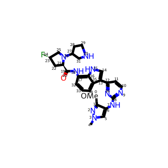 COc1nn(C)cc1Nc1nccc(-c2c[nH]c3c(NC(=O)[C@H]4C[C@H](F)CN4C4CCNC4)cccc23)n1